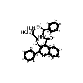 CC[C@H](NC(=O)c1c(OCCN)c(-c2ccccc2)nc2ccccc12)c1ccccc1.Cl